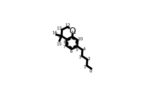 CCCCCc1ccc2c(c1)OCCC2(C)C